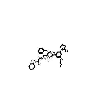 CCCOc1cc(C(=O)N[C@@H](Cc2ccccc2)[C@H](O)CN[C@@H](C)C(=O)NC2CCCCC2)cc(N2CCCC2=O)c1